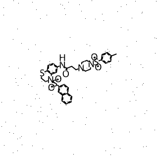 Cc1ccc(S(=O)(=O)N2CCN(CCC(=O)Nc3ccc4c(c3)N(S(=O)(=O)c3ccc5ccccc5c3)CCS4)CC2)cc1